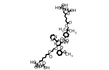 COc1ccccc1Oc1c(NS(=O)(=O)c2ccc(C(C)(C)COC(=O)CCCC(CON(O)O)ON(O)O)cc2)nc(-c2ncccn2)nc1OCCOC(=O)CCCC(CON(O)O)ON(O)O